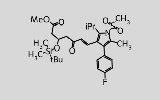 COC(=O)CC(CC(=O)C=Cc1c(-c2ccc(F)cc2)c(C)n(S(C)(=O)=O)c1C(C)C)O[Si](C)(C)C(C)(C)C